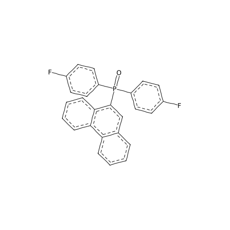 O=P(c1ccc(F)cc1)(c1ccc(F)cc1)c1cc2ccccc2c2ccccc12